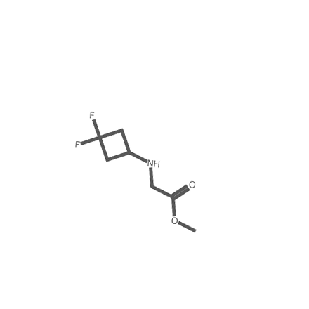 COC(=O)CNC1CC(F)(F)C1